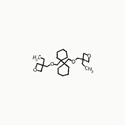 CCC1(COCC2(C3(COCC4(CC)COC4)CCCCC3)CCCCC2)COC1